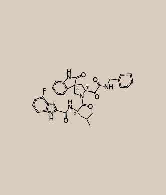 CC(C)C[C@H](NC(=O)c1cc2c(F)cccc2[nH]1)C(=O)N1C[C@]2(C[C@H]1C(=O)C(=O)NCc1ccccc1)C(=O)Nc1ccccc12